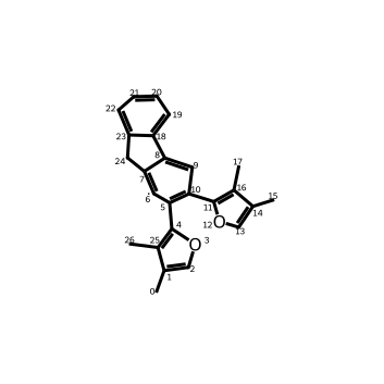 Cc1coc(-c2[c]c3c(cc2-c2occ(C)c2C)-c2ccccc2C3)c1C